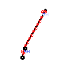 CC(C)(C)OC(=O)NCCOCCOCCOCCOCCOCCOCCOCCOCCOc1ccc(NC(=O)OCc2ccccc2)cc1